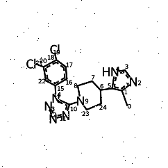 Cc1nc[nH]c1C1CCN(c2nnnn2-c2ccc(Cl)c(Cl)c2)CC1